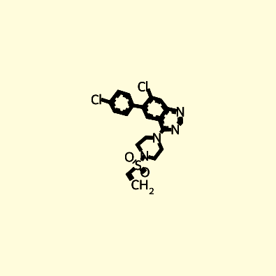 C=CS(=O)(=O)N1CCN(c2ncnc3cc(Cl)c(-c4ccc(Cl)cc4)cc23)CC1